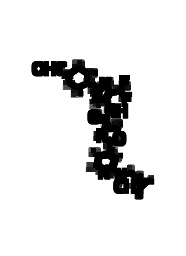 CN(CC1CC1)c1cc(-c2nc(C(=O)Nc3cn([C@H]4CC[C@H](C=O)CC4)nc3C(F)F)co2)ccn1